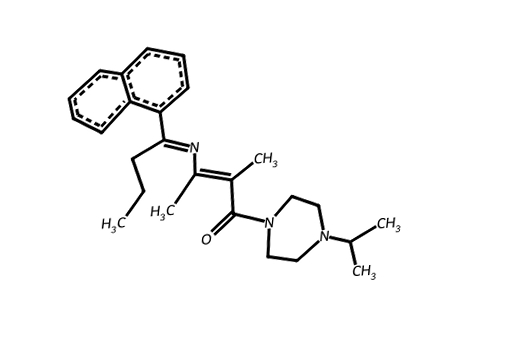 CCC/C(=N\C(C)=C(/C)C(=O)N1CCN(C(C)C)CC1)c1cccc2ccccc12